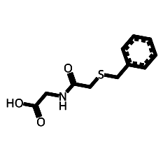 O=C(O)CNC(=O)CSCc1ccccc1